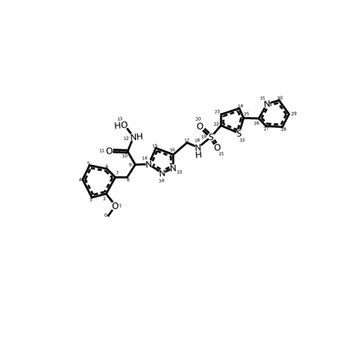 COc1ccccc1CC(C(=O)NO)n1cc(CNS(=O)(=O)c2ccc(-c3ccccn3)s2)nn1